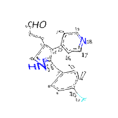 O=C/C=C/c1c[nH]c(-c2ccc(F)cc2)c1-c1ccncc1